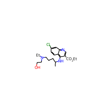 CCOC(=O)c1cnc2cc(Cl)ccc2c1NC(C)CCCN(CC)CCO